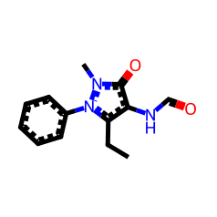 CCc1c(NC=O)c(=O)n(C)n1-c1ccccc1